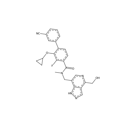 CN(Cc1cnc(CO)c2cn[nH]c12)C(=O)c1ccc(-c2cccc(C#N)c2)c(OC2CC2)c1F